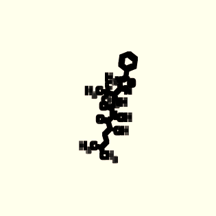 CC(C)CC[C@@H](O)C(=O)N(O)C(=O)N[C@H](c1noc(-c2ccccc2)n1)C(C)(C)C